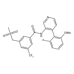 COc1cccc(F)c1-c1ccncc1NC(=O)c1cc(CS(C)(=O)=O)cc(C(F)(F)F)c1